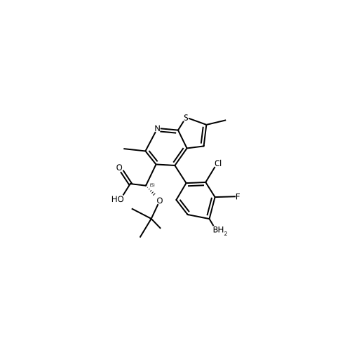 Bc1ccc(-c2c([C@H](OC(C)(C)C)C(=O)O)c(C)nc3sc(C)cc23)c(Cl)c1F